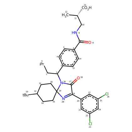 CC(C)CC(c1ccc(C(=O)NC[C@H](C)C(=O)O)cc1)N1C(=O)C(c2cc(Cl)cc(Cl)c2)=NC12CCC(C(C)(C)C)CC2